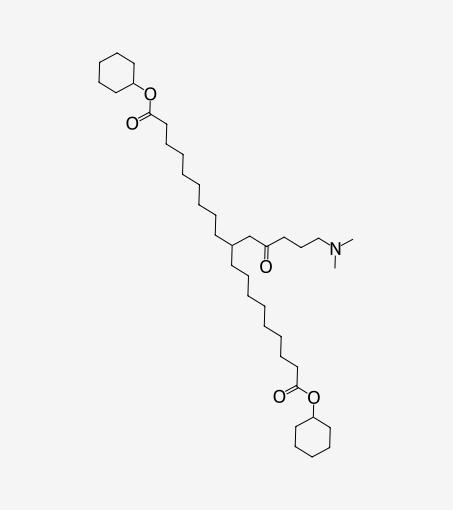 CN(C)CCCC(=O)CC(CCCCCCCCC(=O)OC1CCCCC1)CCCCCCCCC(=O)OC1CCCCC1